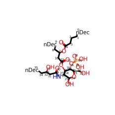 CCCCCCCCCCCCCC(=O)OC(CCCCCCCCCCC)CC(=O)O[C@H]1[C@H](OP(=O)(O)O)[C@@H](CO)OC(O)[C@@H]1NC(=O)C[C@H](O)CCCCCCCCCCC